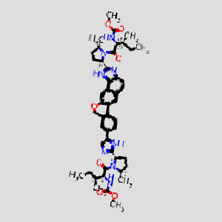 CC[C@H](C)[C@H](NC(=O)OC)C(=O)N1[C@@H](C)CC[C@H]1c1ncc(-c2ccc3c(c2)COc2cc4c(ccc5nc([C@@H]6CC[C@H](C)N6C(=O)[C@@H](NC(=O)OC)[C@@H](C)CC)[nH]c54)cc2-3)[nH]1